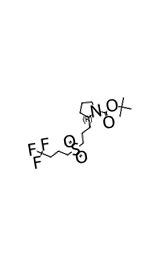 CC(C)(C)OC(=O)N1CCC[C@@H]1CCCS(=O)(=O)CCCC(F)(F)F